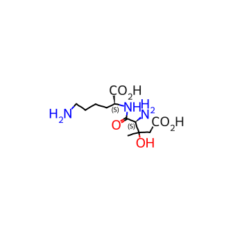 CC(O)(CC(=O)O)[C@H](N)C(=O)N[C@@H](CCCCN)C(=O)O